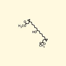 COC(=O)CC1(CCCCCC(O)CCCCCC2(CC(=O)OC)CC2)CC1